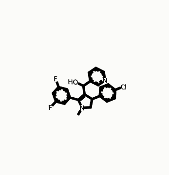 CN1CC(c2ccc(Cl)cc2)C(C(O)c2cccnc2)=C1c1cc(F)cc(F)c1